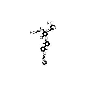 Cc1c(COc2cc(OCc3cncc(C#N)c3)c(CN(C)CCCO)cc2Cl)cccc1-c1cccc(OCCCN2CCCC2)c1C